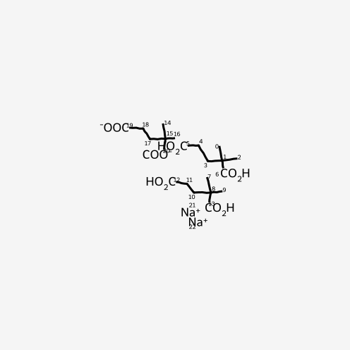 CC(C)(CCC(=O)O)C(=O)O.CC(C)(CCC(=O)O)C(=O)O.CC(C)(CCC(=O)[O-])C(=O)[O-].[Na+].[Na+]